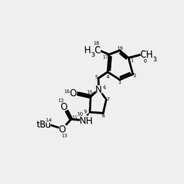 Cc1ccc(CN2CC[C@H](NC(=O)OC(C)(C)C)C2=O)c(C)c1